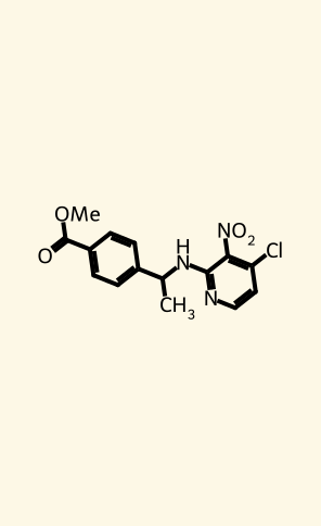 COC(=O)c1ccc(C(C)Nc2nccc(Cl)c2[N+](=O)[O-])cc1